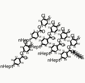 CCCCCCCc1ccc(C(=O)Oc2ccc([S])c(Cl)c2)cc1.CCCCCCCc1ccc(C(=O)Oc2ccc([S])c(Cl)c2)cc1.CCCCCCCc1ccc(C(=O)Oc2ccc([S])c(Cl)c2)cc1.CCCCCCCc1ccc(C(=O)Oc2ccc([S])c(Cl)c2)cc1.CCCCCCCc1ccc(C(=O)Oc2ccc([S])c(Cl)c2)cc1.F.F.F.F.F